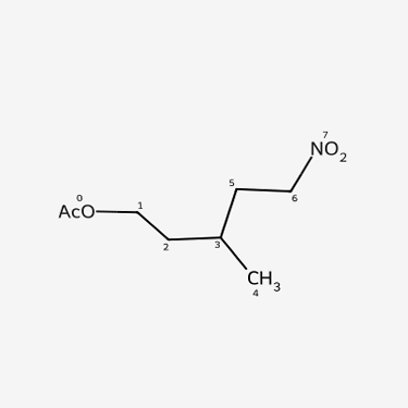 CC(=O)OCCC(C)CC[N+](=O)[O-]